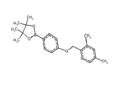 Cc1cnc(COc2ccc(B3OC(C)(C)C(C)(C)O3)cc2)c(C)c1